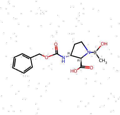 CB(O)N1CC[C@@H](NC(=O)OCc2ccccc2)[C@@H]1C(=O)O